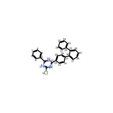 Clc1nc(-c2ccccc2)nc(-c2ccc(-c3ccccc3-c3ccccc3)cc2)n1